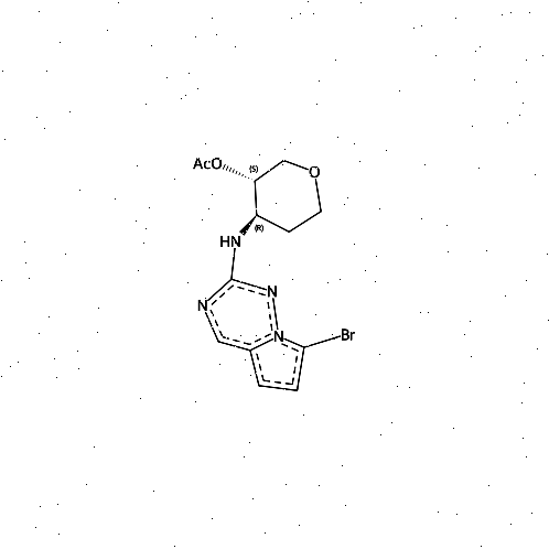 CC(=O)O[C@@H]1COCC[C@H]1Nc1ncc2ccc(Br)n2n1